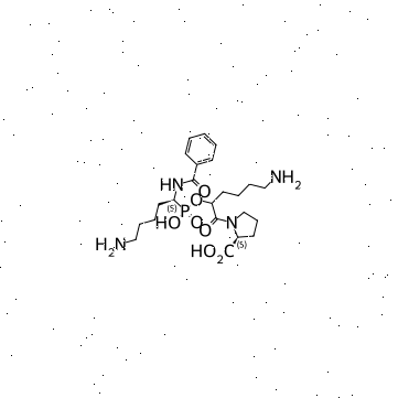 NCCCCC(OP(=O)(O)[C@@H](CCCCN)NC(=O)c1ccccc1)C(=O)N1CCC[C@H]1C(=O)O